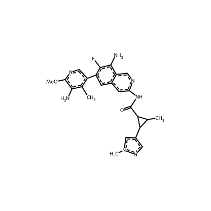 COc1ncc(-c2cc3cc(NC(=O)C4C(C)C4c4cnn(C)c4)ncc3c(N)c2F)c(C)c1N